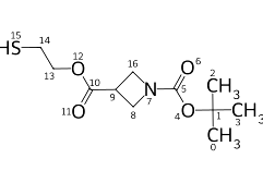 CC(C)(C)OC(=O)N1CC(C(=O)OCCS)C1